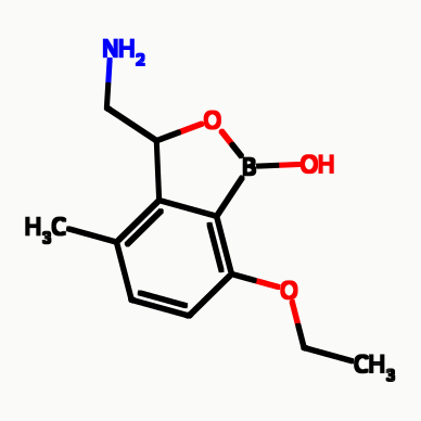 CCOc1ccc(C)c2c1B(O)OC2CN